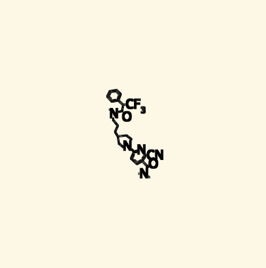 CN(C)C(=O)c1ccc(N2CCC(CCCN(C)C(=O)C(c3ccccc3)C(F)(F)F)CC2)nc1C#N